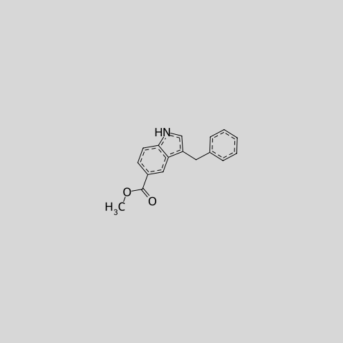 COC(=O)c1ccc2[nH]cc(Cc3ccccc3)c2c1